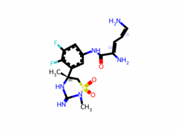 CN1C(=N)N[C@](C)(c2cc(NC(=O)/C(N)=C/C=C\N)cc(F)c2F)CS1(=O)=O